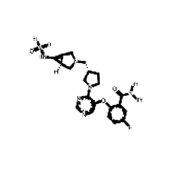 CCS(=O)(=O)NC1=C2CN(C[C@@H]3CCN(c4ncncc4Oc4ccc(F)cc4C(=O)N(C(C)C)C(C)C)C3)C[C@H]21